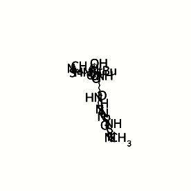 Cc1ncsc1-c1ccc(CNC(=O)[C@@H]2C[C@@H](O)CN2C(=O)[C@@H](NC(=O)CCCCCCC(=O)NCCC2CCN(Cc3nc4cc(NC(=O)c5ccc6c(cnn6C)c5)ccc4[nH]3)C2)C(C)(C)C)cc1